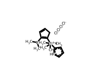 CB(C)C1=[C]([Ti+4]([CH3])([CH3])([CH3])([CH3])[c]2ccc[pH]2)CC=C1.[Cl-].[Cl-].[Cl-].[Cl-]